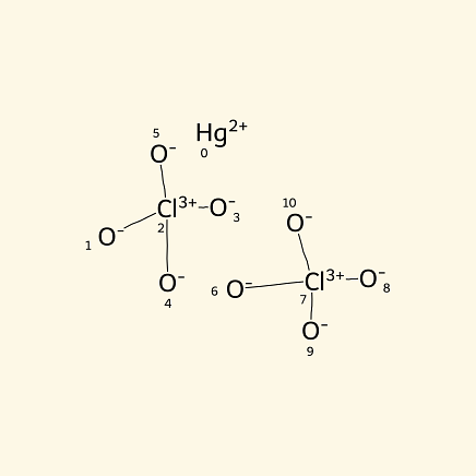 [Hg+2].[O-][Cl+3]([O-])([O-])[O-].[O-][Cl+3]([O-])([O-])[O-]